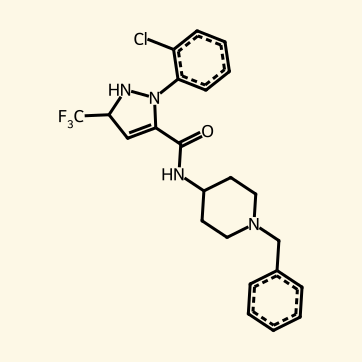 O=C(NC1CCN(Cc2ccccc2)CC1)C1=CC(C(F)(F)F)NN1c1ccccc1Cl